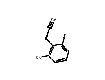 C#CCc1c(F)cccc1CC